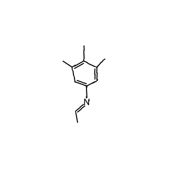 C/C=N/c1cc(C)c(C)c(C)c1